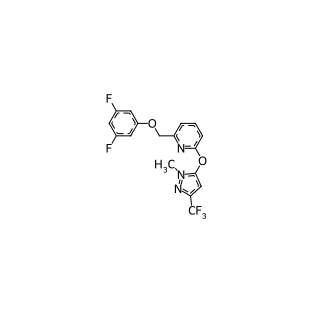 Cn1nc(C(F)(F)F)cc1Oc1cccc(COc2cc(F)cc(F)c2)n1